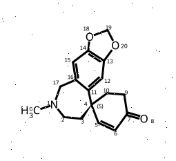 CN1CC[C@@]2(C=CC(=O)CC2)c2cc3c(cc2C1)OCO3